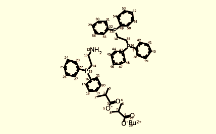 CC(C)C(=O)[O-].CC(C)C(=O)[O-].NCCP(c1ccccc1)c1ccccc1.[Ru+2].c1ccc(P(CCP(c2ccccc2)c2ccccc2)c2ccccc2)cc1